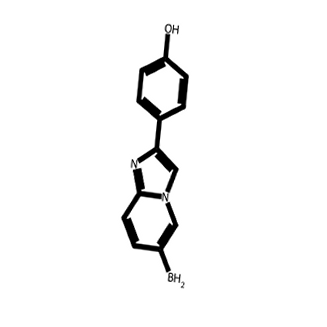 Bc1ccc2nc(-c3ccc(O)cc3)cn2c1